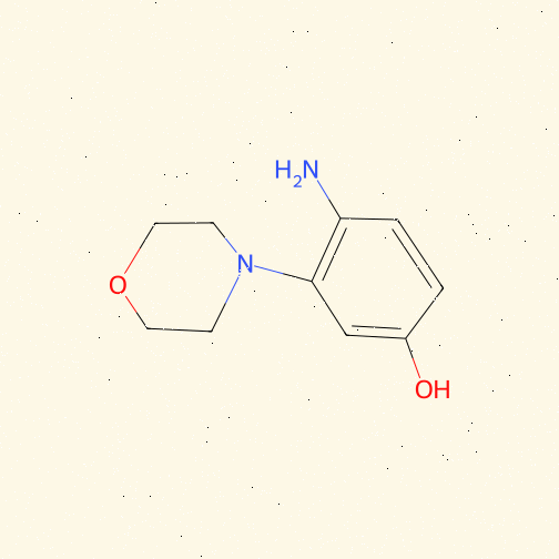 Nc1ccc(O)cc1N1CCOCC1